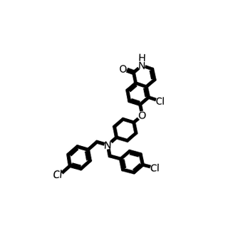 O=c1[nH]ccc2c(Cl)c(OC3CCC(N(Cc4ccc(Cl)cc4)Cc4ccc(Cl)cc4)CC3)ccc12